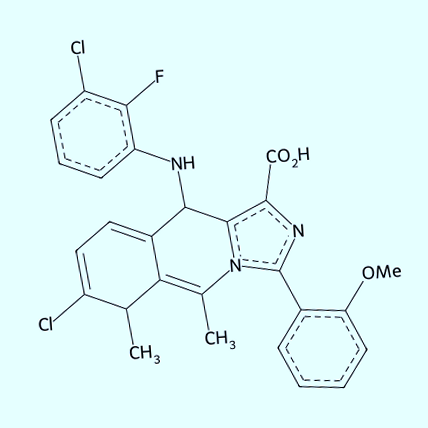 COc1ccccc1-c1nc(C(=O)O)c2n1C(C)=C1C(=CC=C(Cl)C1C)C2Nc1cccc(Cl)c1F